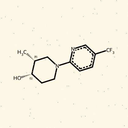 C[C@@H]1CN(c2ccc(C(F)(F)F)cn2)CC[C@@H]1O